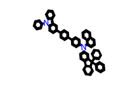 C1=CC2c3ccc(N(c4ccc(-c5ccc(-c6ccc7c(c6)c6ccccc6n7-c6ccccc6)cc5)cc4)c4cccc5ccccc45)cc3C(C3=CCCC=C3)(c3ccccc3)C2C=C1